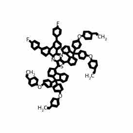 C=Cc1ccc(Oc2ccc(C3(c4ccc(Oc5ccc(C=C)cc5)cc4)c4ccccc4-c4c(-c5sc(-c6cccc7c6-c6ccccc6C7(c6ccc(Oc7ccc(C=C)cc7)cc6)c6ccc(Oc7ccc(C=C)cc7)cc6)c6nc7c8ccc(-c9ccc(F)cc9)cc8c8cc(-c9ccc(F)cc9)ccc8c7nc56)cccc43)cc2)cc1